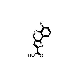 O=C(O)c1cc2c(s1)-c1cccc(F)c1OC2